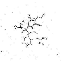 CC(C)=CCN1c2c(n(C)c(=O)n(CCCl)c2=O)N(OC(=O)C(F)(F)F)C1N1CCNCC1